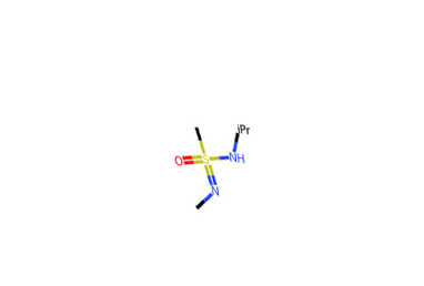 CN=S(C)(=O)NC(C)C